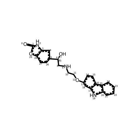 O=c1[nH]c2cc([C@@H](O)CNCCOc3ccc4c(c3)[nH]c3ccccc34)ccc2o1